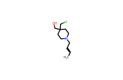 CC=CCN1CCC(CO)(CCl)CC1